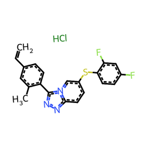 C=Cc1ccc(-c2nnc3ccc(Sc4ccc(F)cc4F)cn23)c(C)c1.Cl